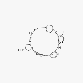 OC1CC2CCNCCN3CCN(CC3)Cc3cc(ccc3F)Nc3cc(ccn3)-c3cnc(nc3)N2C1